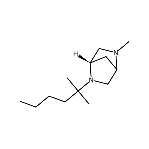 CCCCC(C)(C)N1CC2C[C@H]1CN2C